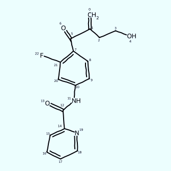 C=C(CCO)C(=O)c1ccc(NC(=O)c2ccccn2)cc1F